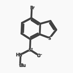 CC(C)(C)N[S+]([O-])c1ccc(Br)c2ccsc12